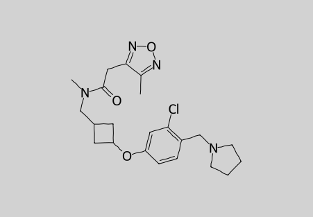 Cc1nonc1CC(=O)N(C)CC1CC(Oc2ccc(CN3CCCC3)c(Cl)c2)C1